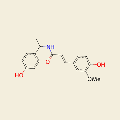 COc1cc(C=CC(=O)NC(C)c2ccc(O)cc2)ccc1O